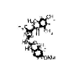 COc1ccc(NC(=O)Nc2nc(C)c(C(=O)Nc3c(C)cc(C)cc3C)s2)c(C)c1